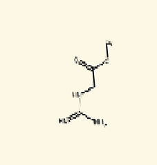 CC(C)OC(=O)CNC(=N)N